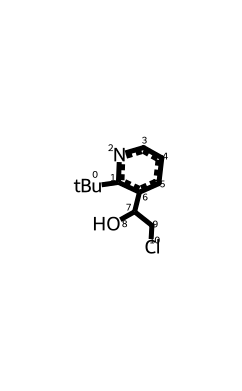 CC(C)(C)c1ncccc1C(O)CCl